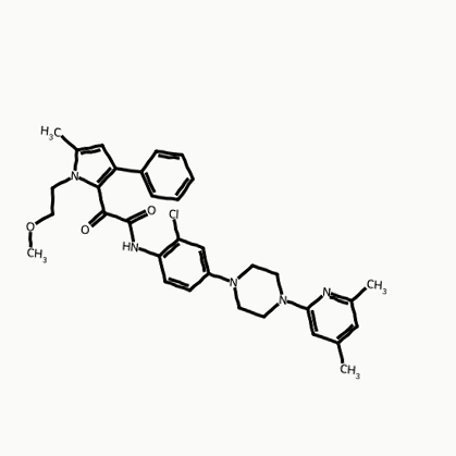 COCCn1c(C)cc(-c2ccccc2)c1C(=O)C(=O)Nc1ccc(N2CCN(c3cc(C)cc(C)n3)CC2)cc1Cl